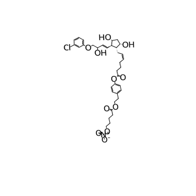 O=C(CCCCO[N+](=O)[O-])OCCc1ccc(OC(=O)CCC/C=C\C[C@@H]2[C@@H](/C=C/[C@@H](O)COc3cccc(Cl)c3)[C@H](O)C[C@@H]2O)cc1